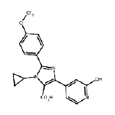 O=C(O)c1c(-c2ccnc(O)c2)nc(-c2ccc(OC(F)(F)F)cc2)n1C1CC1